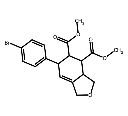 COC(=O)C1C2COCC2=CC(c2ccc(Br)cc2)C1C(=O)OC